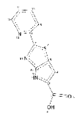 O=C(O)c1cc2sc(-c3ccccn3)nc2[nH]1